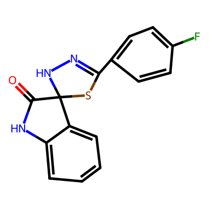 O=C1Nc2ccccc2C12NN=C(c1ccc(F)cc1)S2